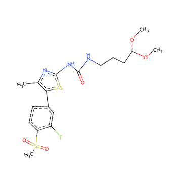 COC(CCCNC(=O)Nc1nc(C)c(-c2ccc(S(C)(=O)=O)c(F)c2)s1)OC